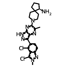 Cc1nc2c(-c3ccc4nn(C)c(Cl)c4c3Cl)n[nH]c2nc1N1CCC2(CCC[C@H]2N)CC1